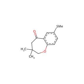 CSc1ccc2c(c1)C(=O)CC(C)(C)CO2